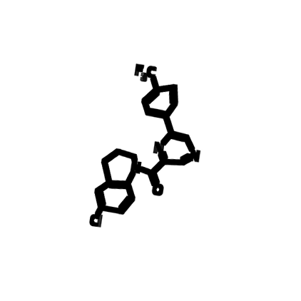 O=C(c1cncc(-c2ccc(C(F)(F)F)cc2)n1)N1CCCc2cc(Cl)ccc21